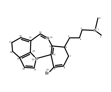 CN(C)CCCC1CC=C(Br)C2=C1N=CC1=CCCc3ccn2c31